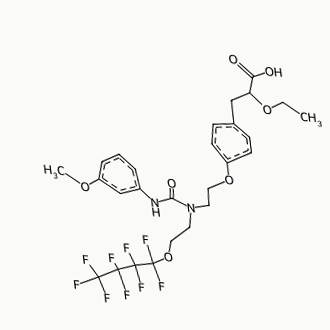 CCOC(Cc1ccc(OCCN(CCOC(F)(F)C(F)(F)C(F)(F)C(F)(F)F)C(=O)Nc2cccc(OC)c2)cc1)C(=O)O